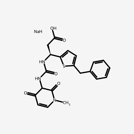 CN1C=CC(=O)C(NC(=O)N[C@@H](CC(=O)O)c2ccc(Cc3ccccc3)s2)C1=O.[NaH]